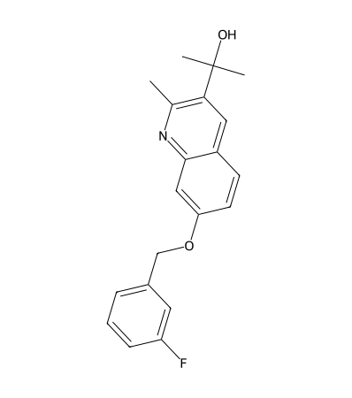 Cc1nc2cc(OCc3cccc(F)c3)ccc2cc1C(C)(C)O